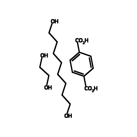 O=C(O)c1ccc(C(=O)O)cc1.OCCCCCCCCO.OCCO